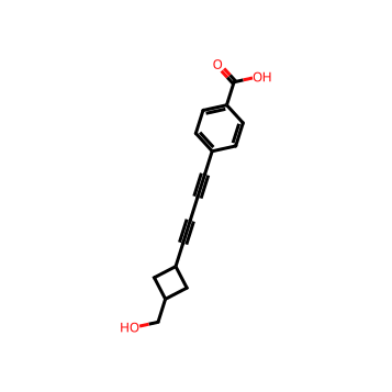 O=C(O)c1ccc(C#CC#CC2CC(CO)C2)cc1